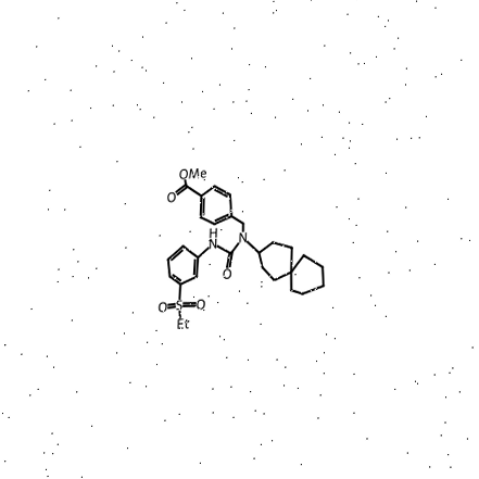 CCS(=O)(=O)c1cccc(NC(=O)N(Cc2ccc(C(=O)OC)cc2)C2CCC3(CCCCC3)CC2)c1